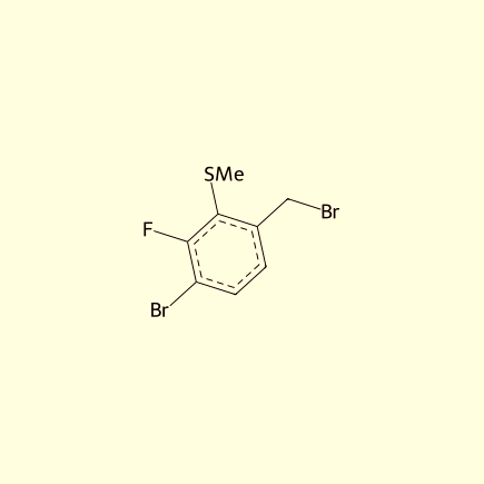 CSc1c(CBr)ccc(Br)c1F